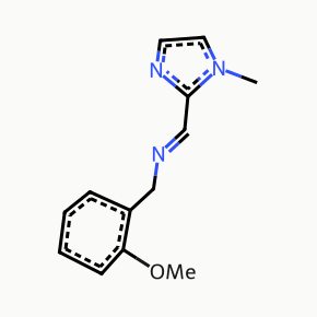 COc1ccccc1CN=Cc1nccn1C